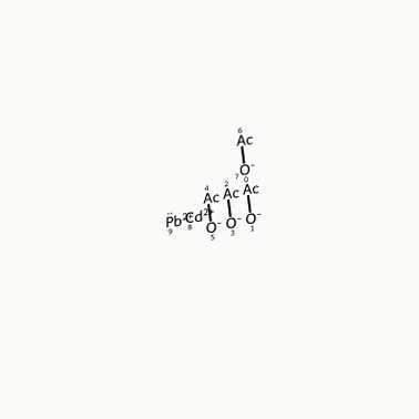 CC(=O)[O-].CC(=O)[O-].CC(=O)[O-].CC(=O)[O-].[Cd+2].[Pb+2]